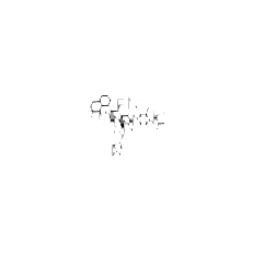 C=N/C(=C(/F)c1nc(OCC2CN(C)C2)nc(N2CCN(C(=O)C(=C)F)C(CC#N)C2)c1C)c1cccc2ccc(F)c(Cl)c12